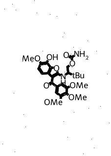 COc1cc(C(=O)c2c(NC(COC(N)=O)C(C)(C)C)oc3c(O)c(OC)ccc23)cc(OC)c1OC